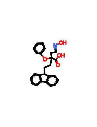 O=C(O)C(CC=NO)(CCC1c2ccccc2-c2ccccc21)Oc1ccccc1